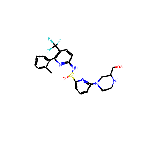 Cc1ccccc1-c1nc(N[S+]([O-])c2cccc(N3CCNC(CO)C3)n2)ccc1C(F)(F)F